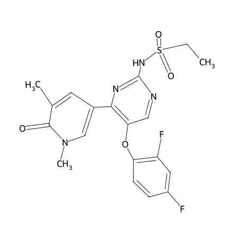 CCS(=O)(=O)Nc1ncc(Oc2ccc(F)cc2F)c(-c2cc(C)c(=O)n(C)c2)n1